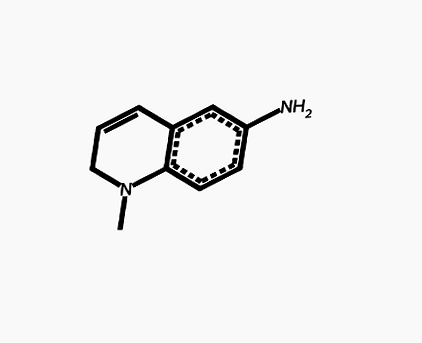 CN1CC=Cc2cc(N)ccc21